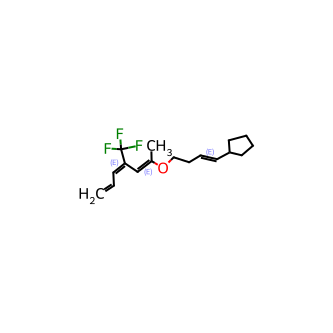 C=C/C=C(\C=C(/C)OCC/C=C/C1CCCC1)C(F)(F)F